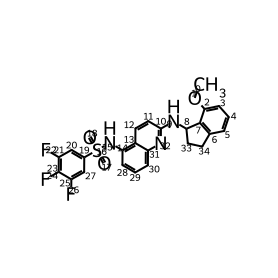 COc1cccc2c1C(Nc1ccc3c(NS(=O)(=O)c4cc(F)c(F)c(F)c4)cccc3n1)CC2